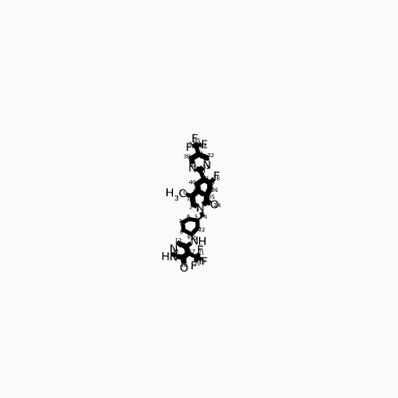 Cc1cn(C[C@@H]2CCC[C@H](Nc3cn[nH]c(=O)c3C(F)(F)F)C2)c(=O)c2cc(F)c(-c3ncc(C(F)(F)F)cn3)cc12